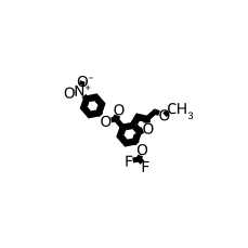 COCc1cc2c(C(=O)Oc3ccc([N+](=O)[O-])cc3)ccc(OC(F)F)c2o1